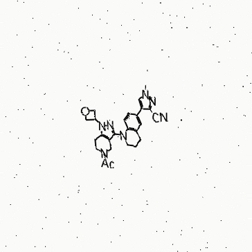 CC(=O)N1CCc2c(c(N3CCCc4cc(-c5cn(C)nc5C#N)ccc43)nn2C2COC2)C1